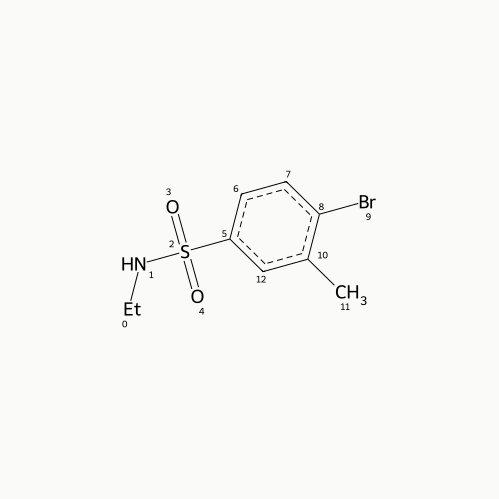 CCNS(=O)(=O)c1ccc(Br)c(C)c1